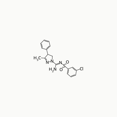 CC1=NN(/C(N)=N/S(=O)(=O)c2cccc(Cl)c2)CC1c1ccccc1